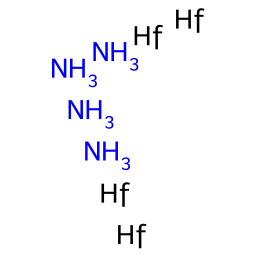 N.N.N.N.[Hf].[Hf].[Hf].[Hf]